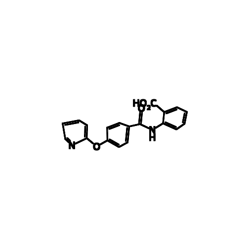 O=C(Nc1ccccc1C(=O)O)c1ccc(Oc2ccccn2)cc1